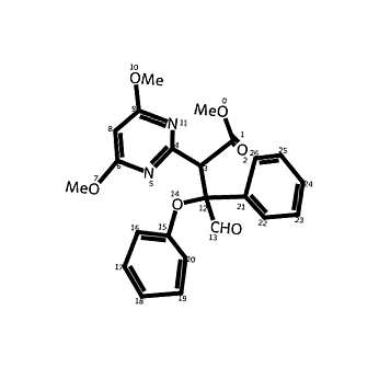 COC(=O)C(c1nc(OC)cc(OC)n1)C(C=O)(Oc1ccccc1)c1ccccc1